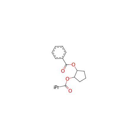 CC(C)C(=O)OC1CCCC1OC(=O)c1ccccc1